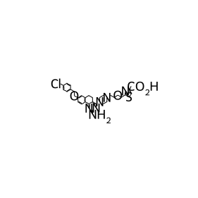 Nc1nc2c(c(N3CCN(CCOCc4nc(C(=O)O)cs4)CC3)n1)CCc1cc(OCc3ccc(Cl)cc3)ccc1-2